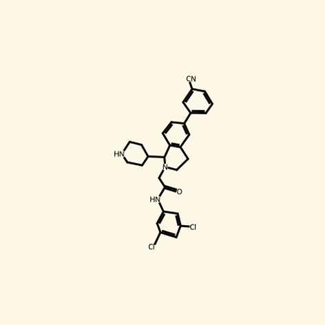 N#Cc1cccc(-c2ccc3c(c2)CCN(CC(=O)Nc2cc(Cl)cc(Cl)c2)C3C2CCNCC2)c1